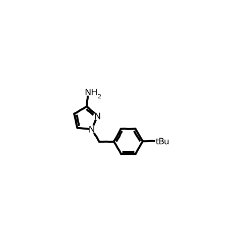 CC(C)(C)c1ccc(Cn2ccc(N)n2)cc1